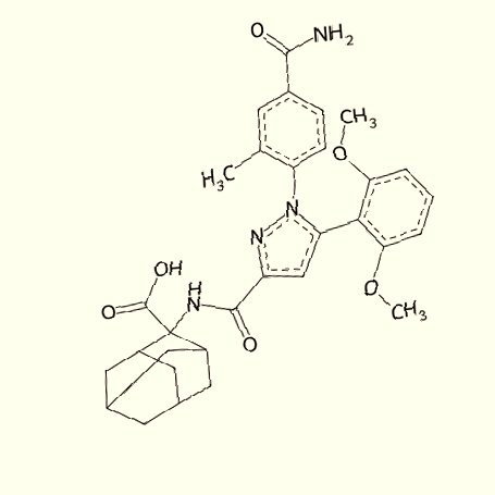 COc1cccc(OC)c1-c1cc(C(=O)NC2(C(=O)O)C3CC4CC(C3)CC2C4)nn1-c1ccc(C(N)=O)cc1C